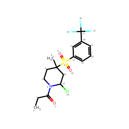 CCC(=O)N1CCC(C)(S(=O)(=O)c2cccc(C(F)(F)F)c2)CC1Cl